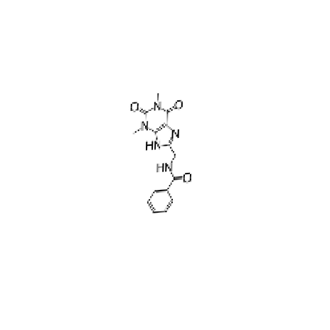 Cn1c(=O)c2nc(CNC(=O)c3ccccc3)[nH]c2n(C)c1=O